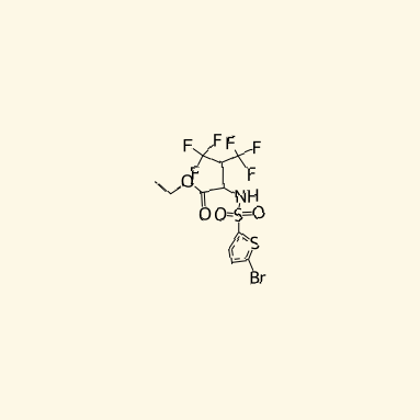 CCOC(=O)C(NS(=O)(=O)c1ccc(Br)s1)C(C(F)(F)F)C(F)(F)F